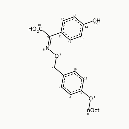 CCCCCCCCOc1ccc(CO/N=C(/C(=O)O)c2ccc(O)cc2)cc1